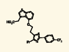 CC(C)c1nc(-c2ccc(C(F)(F)F)cc2)sc1CCOc1cccc2scc(CC(=O)O)c12